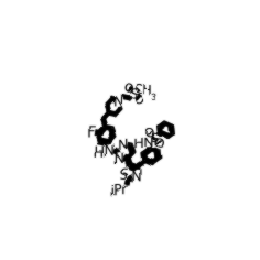 CC(C)c1nc(-c2cccc(NS(=O)(=O)c3ccccc3)c2)c(-c2ccnc(Nc3ccc(CC4CCN(CCS(C)(=O)=O)CC4)c(F)c3)n2)s1